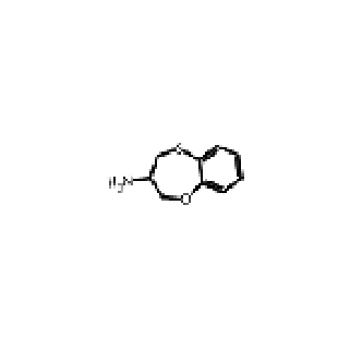 NC1COc2ccccc2SC1